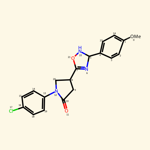 COc1ccc(C2N=C(C3CC(=O)N(c4ccc(Cl)cc4)C3)ON2)cc1